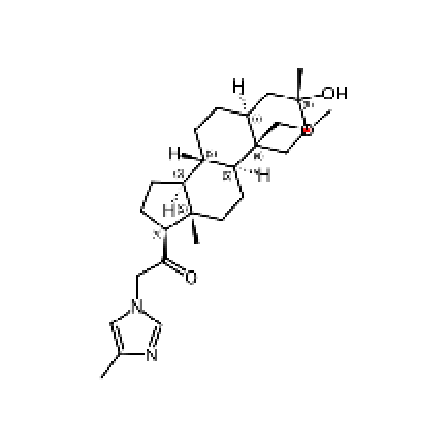 COC[C@]12CC[C@@](C)(O)C[C@@H]1CC[C@H]1[C@@H]3CC[C@H](C(=O)Cn4cnc(C)c4)[C@@]3(C)CC[C@@H]12